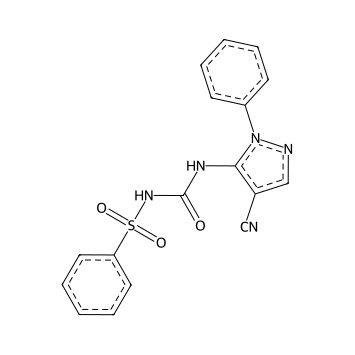 N#Cc1cnn(-c2ccccc2)c1NC(=O)NS(=O)(=O)c1ccccc1